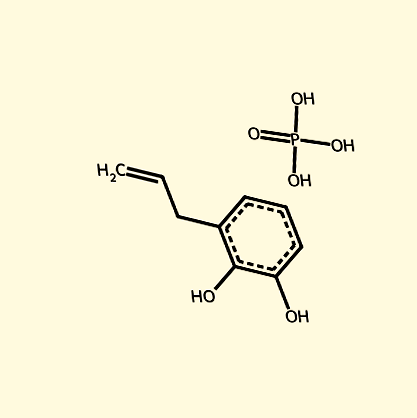 C=CCc1cccc(O)c1O.O=P(O)(O)O